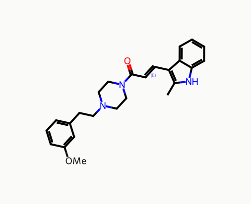 COc1cccc(CCN2CCN(C(=O)/C=C/c3c(C)[nH]c4ccccc34)CC2)c1